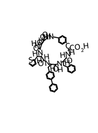 O=C(O)[C@@H]1Cc2ccc(cc2)NC(=O)[C@H](O)[C@@H](O)C(=O)N[C@H](Cc2cccs2)C(=O)N[C@@H](Cc2ccc(-c3ccccc3)cc2)C(=O)N[C@@H](Cc2ccccc2)C(=O)N1